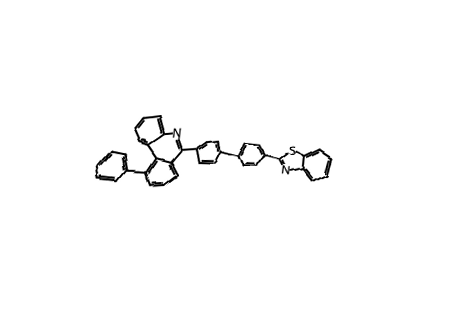 c1ccc(-c2cccc3c(-c4ccc(-c5ccc(-c6nc7ccccc7s6)cc5)cc4)nc4ccccc4c23)cc1